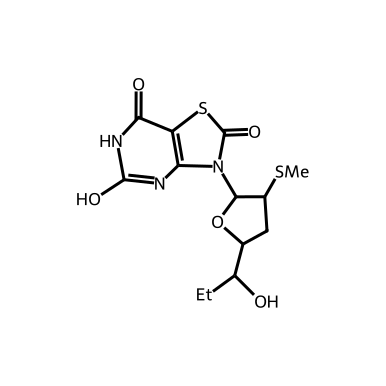 CCC(O)C1CC(SC)C(n2c(=O)sc3c(=O)[nH]c(O)nc32)O1